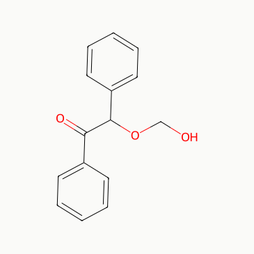 O=C(c1ccccc1)C(OCO)c1ccccc1